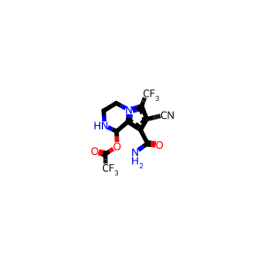 N#Cc1c(C(N)=O)c2n(c1C(F)(F)F)CCNC2OC(=O)C(F)(F)F